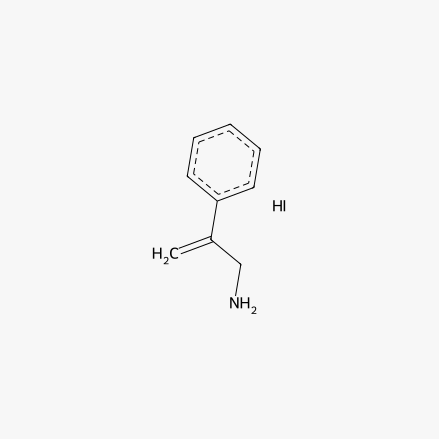 C=C(CN)c1ccccc1.I